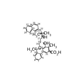 Cc1ccc(-c2ccccc2C(C)OC[C@@H](O)CNC(C)(C)Cc2ccc3ccccc3c2)cc1C(=O)O